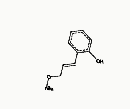 CCCCOCC=Cc1ccccc1O